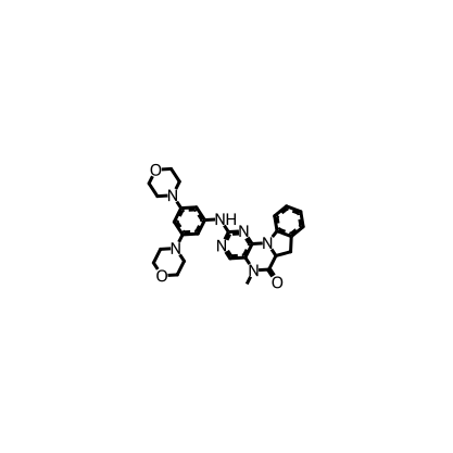 CN1C(=O)C2Cc3ccccc3N2c2nc(Nc3cc(N4CCOCC4)cc(N4CCOCC4)c3)ncc21